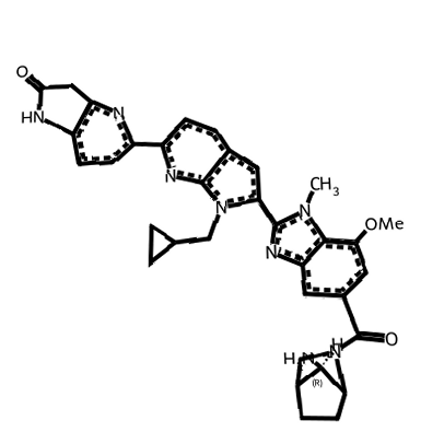 COc1cc(C(=O)N2CC3CCC2[C@@H]3N)cc2nc(-c3cc4ccc(-c5ccc6c(n5)CC(=O)N6)nc4n3CC3CC3)n(C)c12